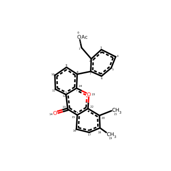 CC(=O)OCc1ccccc1-c1cccc2c(=O)c3ccc(C)c(C)c3oc12